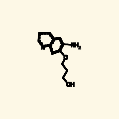 Nc1cc2cccnc2cc1OCCCO